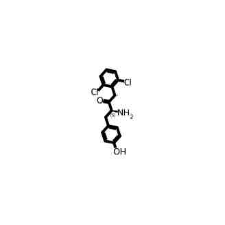 N[C@@H](Cc1ccc(O)cc1)C(=O)[CH]c1c(Cl)cccc1Cl